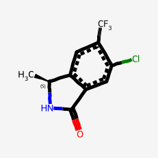 C[C@@H]1NC(=O)c2cc(Cl)c(C(F)(F)F)cc21